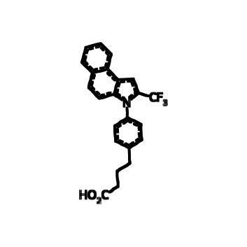 O=C(O)CCCc1ccc(-n2c(C(F)(F)F)cc3c4ccccc4ccc32)cc1